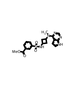 COC(=O)c1cccc(S(=O)(=O)NC2CC(N(C)c3ncnc4[nH]ccc34)C2)c1